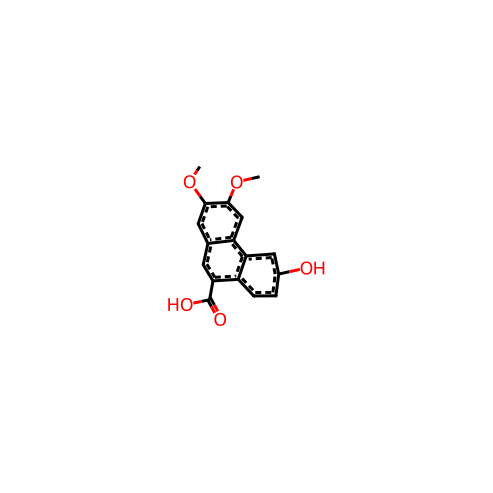 COc1cc2cc(C(=O)O)c3ccc(O)cc3c2cc1OC